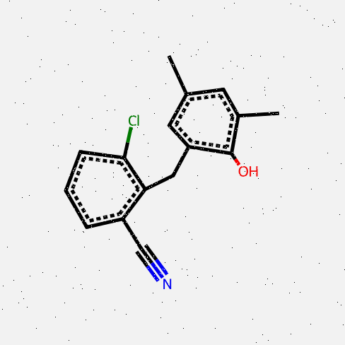 Cc1cc(C)c(O)c(Cc2c(Cl)cccc2C#N)c1